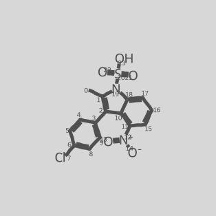 Cc1c(-c2ccc(Cl)cc2)c2c([N+](=O)[O-])cccc2n1S(=O)(=O)O